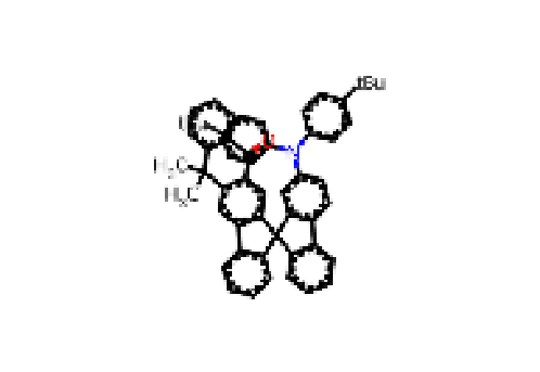 CC(C)(C)c1ccc(N(c2ccc(C(C)(C)C)cc2)c2ccc3c(c2)C2(c4ccccc4-3)c3ccccc3-c3cc4c(cc32)C(=O)c2ccccc2C4(C)C)cc1